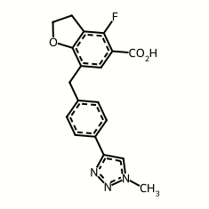 Cn1cc(-c2ccc(Cc3cc(C(=O)O)c(F)c4c3OCC4)cc2)nn1